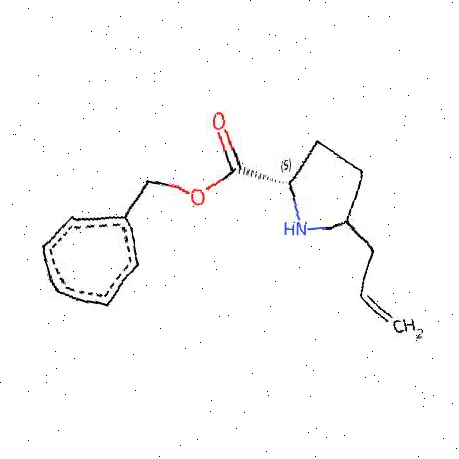 C=CCC1CC[C@@H](C(=O)OCc2ccccc2)N1